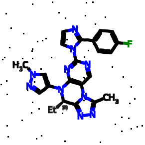 CC[C@@H]1c2nnc(C)n2-c2cnc(-n3ccnc3-c3ccc(F)cc3)nc2N1c1cnn(C)c1